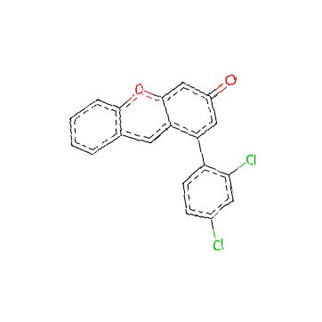 O=c1cc2oc3ccccc3cc-2c(-c2ccc(Cl)cc2Cl)c1